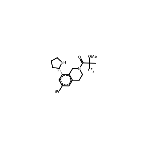 COC(C)(C(=O)N1CCc2cc(C(C)C)cc([C@@H]3CCCN3)c2C1)C(F)(F)F